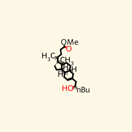 CCCC[C@H](O)CC1=CC[C@@H]2[C@H](CC[C@]3(C)[C@@H]([C@H](C)CCC(=O)OC)CC[C@@H]23)C1